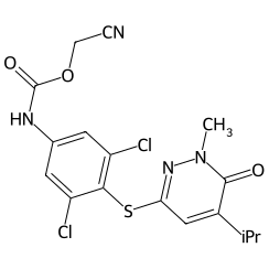 CC(C)c1cc(Sc2c(Cl)cc(NC(=O)OCC#N)cc2Cl)nn(C)c1=O